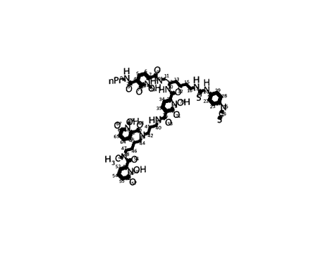 CCCNC(=O)c1ccc(C(=O)NC[C@H](CCCCNC(=S)Nc2ccc(N=C=S)cc2)NC(=O)c2ccc(C(=O)NCCCN(CCCCN(C)C(=O)c3cccc(=O)n3O)C(=O)c3cccc(=O)n3O)c(=O)n2O)n(O)c1=O